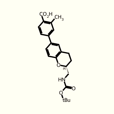 Cc1cc(-c2ccc3c(c2)CC[C@H](CNC(=O)OC(C)(C)C)O3)ccc1C(=O)O